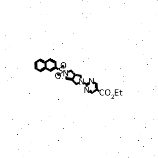 CCOC(=O)c1cnc(N2CC3=CN(S(=O)(=O)c4ccc5ccccc5c4)CC3C2)nc1